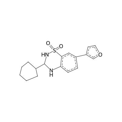 O=S1(=O)NC(C2CCCCC2)Nc2ccc(-c3ccoc3)cc21